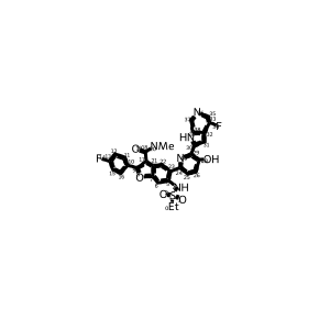 CCS(=O)(=O)Nc1cc2oc(-c3ccc(F)cc3)c(C(=O)NC)c2cc1-c1ccc(O)c(-c2cc3c(F)cncc3[nH]2)n1